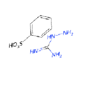 N=C(N)NN.O=S(=O)(O)c1ccccc1